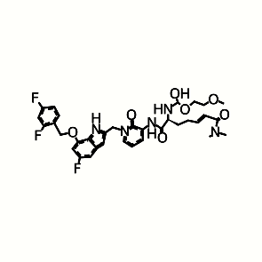 COCCOC(O)N[C@@H](CC/C=C/C(=O)N(C)C)C(=O)Nc1cccn(Cc2cc3cc(F)cc(OCc4ccc(F)cc4F)c3[nH]2)c1=O